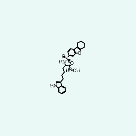 O=C(NO)[C@@H](CCCCc1c[nH]c2ccccc12)NS(=O)(=O)c1ccc2c3c(oc2c1)CCCC3